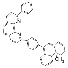 CC12CCC=CC1=CC(c1ccc(-c3ccc4ccc5ccc(-c6ccccc6)nc5c4n3)cc1)=C1C=CC=CC12